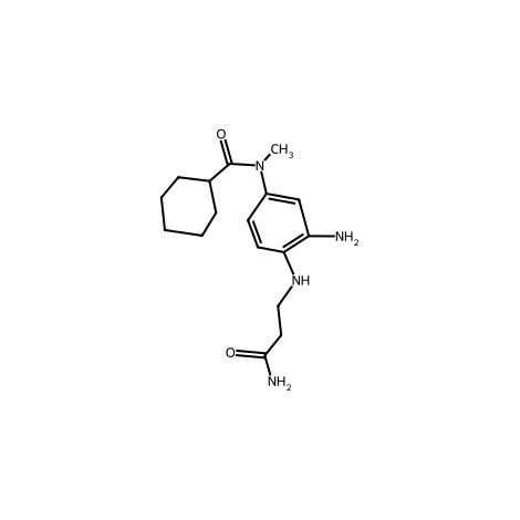 CN(C(=O)C1CCCCC1)c1ccc(NCCC(N)=O)c(N)c1